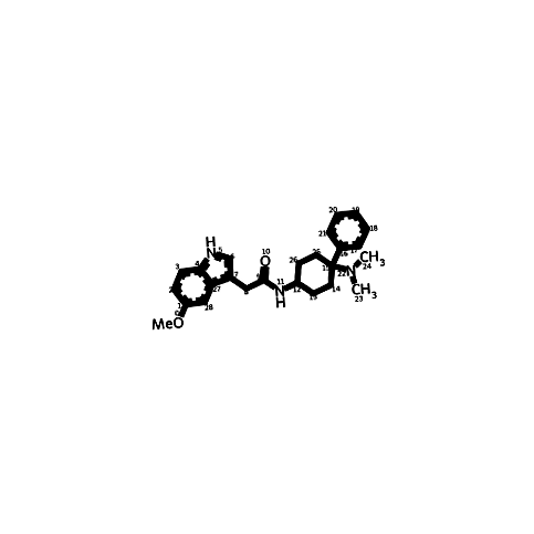 COc1ccc2[nH]cc(CC(=O)NC3CCC(c4ccccc4)(N(C)C)CC3)c2c1